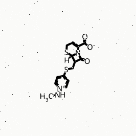 CN[n+]1ccc(SCC2C(=O)N3C(C(=O)[O-])=CCS[C@@H]23)cc1